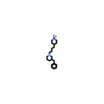 CCN1CCC(CCCCN2CCCC(Cc3ccccc3)C2)CC1